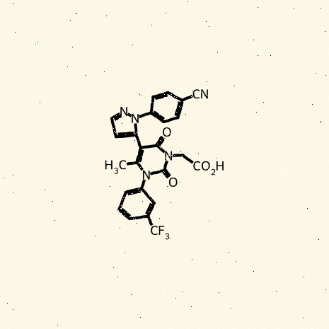 Cc1c(-c2ccnn2-c2ccc(C#N)cc2)c(=O)n(CC(=O)O)c(=O)n1-c1cccc(C(F)(F)F)c1